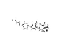 CCCCCC1CCC(c2ccc(-c3cc(F)c(C(F)(F)Br)c(F)c3)c(F)c2)CC1